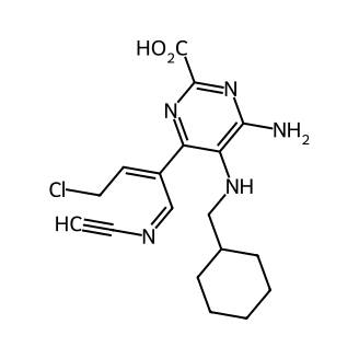 C#C/N=C\C(=C/CCl)c1nc(C(=O)O)nc(N)c1NCC1CCCCC1